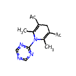 CC(=O)C1=C(C)N(c2ncncn2)C(C)=C(C(C)=O)C1